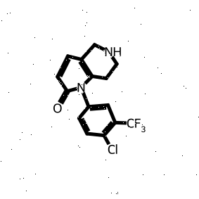 O=c1ccc2c(n1-c1ccc(Cl)c(C(F)(F)F)c1)CCNC2